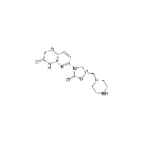 O=C1COc2ccc(N3C[C@@H](CN4CCNCC4)OC3=O)nc2N1